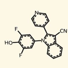 N#Cc1c(-c2ccncc2)n(-c2cc(F)c(O)c(F)c2)c2ccccc12